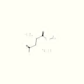 NOC(=O)[C@@H](N)CC(=O)O.[NaH]